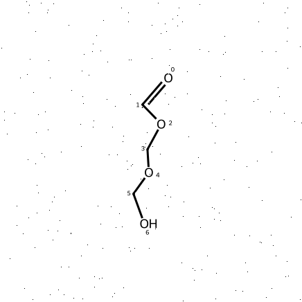 O=[C]OCOCO